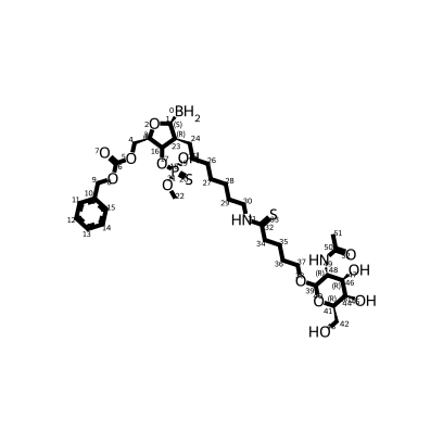 B[C@@H]1O[C@H](COC(=O)OCc2ccccc2)C(OP(O)(=S)OC)[C@@H]1CCCCCCCNC(=S)CCCCOC1O[C@H](CO)[C@H](O)[C@H](O)[C@H]1NC(C)=O